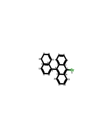 Brc1c2ccccc2c(-c2cccc3c2C=CCC3)c2ccccc12